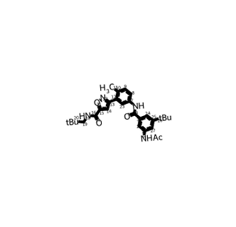 CC(=O)Nc1cc(C(=O)Nc2ccc(C)c(-c3cc(C(=O)NCC(C)(C)C)on3)c2)cc(C(C)(C)C)c1